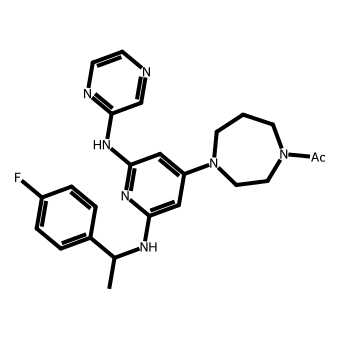 CC(=O)N1CCCN(c2cc(Nc3cnccn3)nc(NC(C)c3ccc(F)cc3)c2)CC1